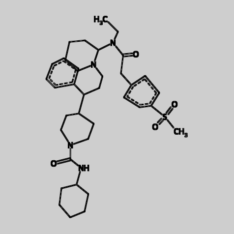 CCN(C(=O)Cc1ccc(S(C)(=O)=O)cc1)C1CCCCN1CCC(c1ccccc1)C1CCN(C(=O)NC2CCCCC2)CC1